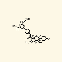 C[C@@H]1C[C@H]2[C@@H]3CCC4=CC(=O)C=C[C@]4(C)C3=CC[C@]2(C)[C@H]1C(=O)CN1CCN(c2cc(NCC(C)(C)C)nc(NC(C)(C)C)n2)CC1